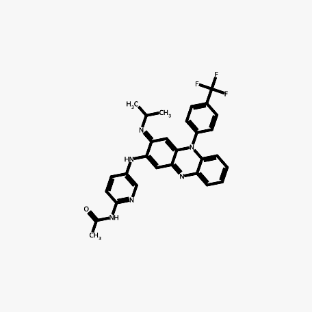 CC(=O)Nc1ccc(Nc2cc3nc4ccccc4n(-c4ccc(C(F)(F)F)cc4)c-3c/c2=N\C(C)C)cn1